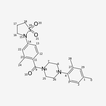 Cc1ccc(N2CCN(C(=O)c3ccc(N4CCCS4(=O)=O)cc3C)CC2)c(C)c1